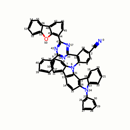 N#Cc1ccc(-n2c3ccccc3c3ccc4c(c5ccccc5n4-c4ccccc4)c32)c(-c2nc(-c3ccccc3)nc(-c3cccc4c3oc3ccccc34)n2)c1